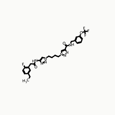 CCc1ccc(F)c(CC(=O)Nc2cn(CCCCn3cc(C(=O)NCc4cccc(OC(F)(F)F)c4)nn3)nn2)c1